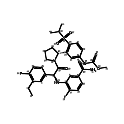 CCc1cc([C@H](Nc2cc(C(N)=O)ccc2F)C(=O)N2CCC[C@@H]2c2cc(NC(=O)OC)ccc2S(=O)(=O)C(C)C)ccc1F